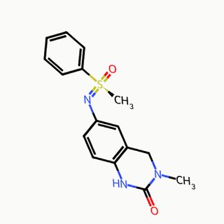 CN1Cc2cc(N=[S@@](C)(=O)c3ccccc3)ccc2NC1=O